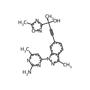 Cc1cc(-n2nc(C)c3ccc(C#C[C@@](C)(O)c4noc(C)n4)cc32)nc(N)n1